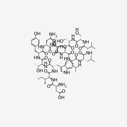 CC[C@H](C)[C@H](NC(=O)[C@@H](N)CC(=O)O)C(=O)N[C@@H](Cc1c[nH]c2ccccc12)C(=O)N[C@H](C(=O)N[C@@H](Cc1ccc(O)cc1)C(=O)N[C@@H](CC(N)=O)C(=O)N[C@@H](C)C(=O)N[C@@H](CCC(=O)O)C(=O)N[C@@H](CC(C)C)C(=O)N[C@@H](CC(C)C)C(=O)N[C@H](C(=O)N[C@@H](CO)C(=O)N[C@@H](CO)C(=O)O)C(C)C)[C@@H](C)O